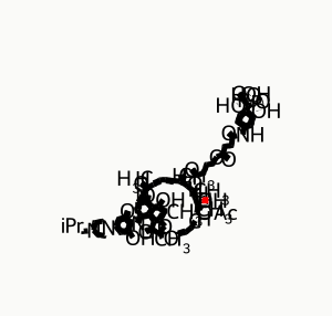 CC(=O)O[C@@H]1CC/C=C/O[C@@]2(C)Oc3c(C)c(O)c4c(=O)c(c5oc6cc(N7CCN(CC(C)C)CC7)cc(O)c6nc-5c4c3C2=O)NC(=O)/C(C)=C\C=C\[C@H](C)[C@H](OC(=O)CCCOC(=O)CCC(=O)Nc2ccc(C(P(=O)(O)O)P(=O)(O)O)cc2)[C@@H](C)[C@@H](O)[C@H]1C